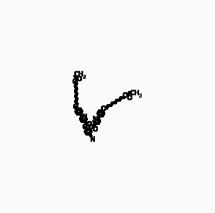 C=CC(=O)OCCCCCCCCCOc1ccc(-c2ccc(C(=O)Oc3ccc(C#N)cc3OC(=O)c3ccc(-c4ccc(OCCCCCCCCCOC(=O)C=C)cc4)nc3)cn2)cc1